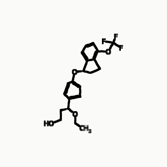 CCO[C@@H](CCO)c1ccc(O[C@@H]2CCc3c(OC(F)(F)F)cccc32)cc1